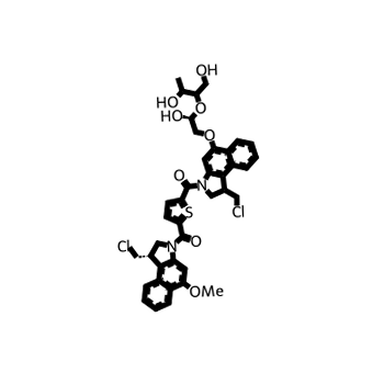 COc1cc2c(c3ccccc13)[C@H](CCl)CN2C(=O)c1ccc(C(=O)N2CC(CCl)c3c2cc(OC[C@@H](O)OC(CO)C(C)O)c2ccccc32)s1